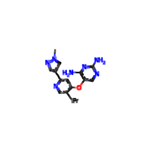 CC(C)c1cnc(-c2cnn(C)c2)cc1Oc1cnc(N)nc1N